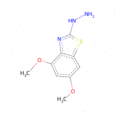 COc1cc(OC)c2nc(NN)sc2c1